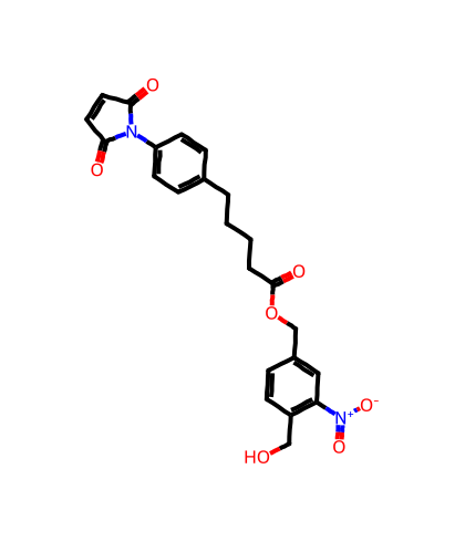 O=C(CCCCc1ccc(N2C(=O)C=CC2=O)cc1)OCc1ccc(CO)c([N+](=O)[O-])c1